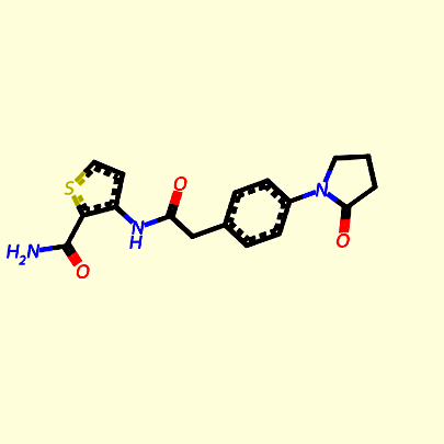 NC(=O)c1sccc1NC(=O)Cc1ccc(N2CCCC2=O)cc1